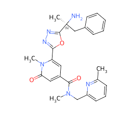 Cc1cccc(CN(C)C(=O)c2cc(-c3nnc([C@@](C)(N)Cc4ccccc4)o3)n(C)c(=O)c2)n1